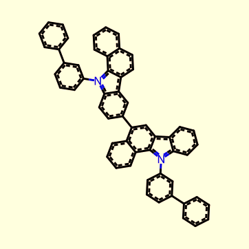 c1ccc(-c2cccc(-n3c4ccc(-c5cc6c7ccccc7n(-c7cccc(-c8ccccc8)c7)c6c6ccccc56)cc4c4ccc5ccccc5c43)c2)cc1